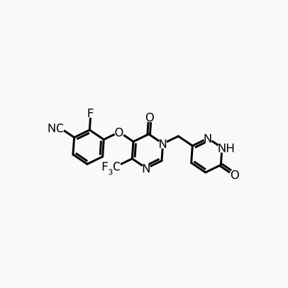 N#Cc1cccc(Oc2c(C(F)(F)F)ncn(Cc3ccc(=O)[nH]n3)c2=O)c1F